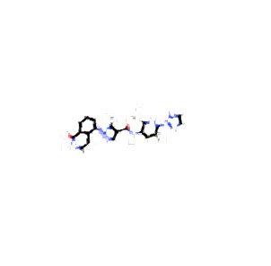 Cc1nc(-n2nccn2)c(Cl)cc1NC(=O)c1cnn(-c2cccc3c(=O)[nH]ccc23)c1C(F)(F)F